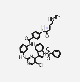 CC(C)NC/C=C/C(=O)Nc1ccc(C(=O)Nc2cccc(Nc3ncc(Cl)c(-c4cn(S(=O)(=O)c5ccccc5)c5ccccc45)n3)c2)cc1